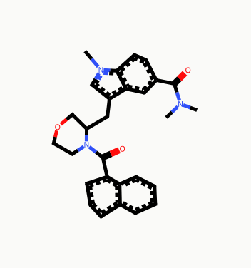 CN(C)C(=O)c1ccc2c(c1)c(CC1COCCN1C(=O)c1cccc3ccccc13)cn2C